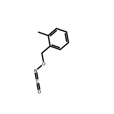 Cc1ccccc1CON=C=O